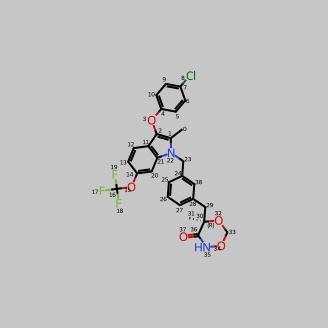 Cc1c(Oc2ccc(Cl)cc2)c2ccc(OC(F)(F)F)cc2n1Cc1cccc(C[C@@]2(C)OCONC2=O)c1